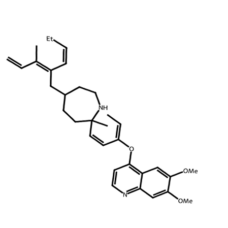 C=C/C(C)=C(/C=C\CC)CC1CCNC(C)(/C=C\C(=C/C)Oc2ccnc3cc(OC)c(OC)cc23)CC1